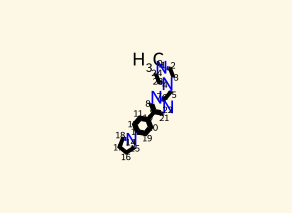 CN1CCN(Cc2ncc(-c3ccc(N4CCCC4)cc3)cn2)CC1